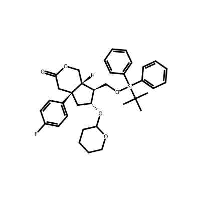 CC(C)(C)[Si](OC[C@@H]1[C@H]2COC(=O)C[C@@]2(c2ccc(F)cc2)C[C@H]1OC1CCCCO1)(c1ccccc1)c1ccccc1